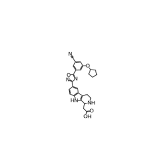 N#Cc1cc(OC2CCCC2)cc(-c2nc(-c3ccc4[nH]c5c(c4c3)CCNC5CC(=O)O)no2)c1